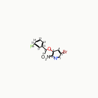 CC(Oc1cc(Br)cnc1[N+](=O)[O-])c1cccc(F)c1